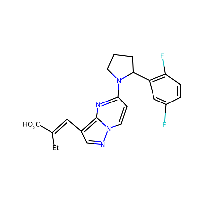 CC/C(=C\c1cnn2ccc(N3CCCC3c3cc(F)ccc3F)nc12)C(=O)O